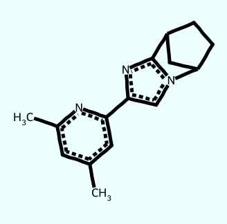 Cc1cc(C)nc(-c2cn3c(n2)C2CCC3C2)c1